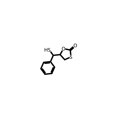 O=C1OC(C(S)c2ccccc2)CS1